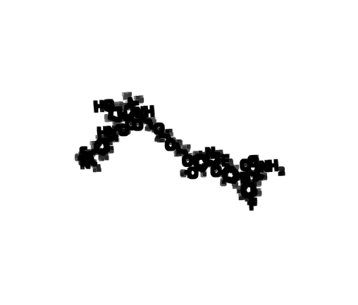 COc1cc2c(Oc3ccc(N(C(=O)C4(C(N)=O)CC4)c4ccc(F)cc4)cc3F)ccnc2cc1OCCCOCCOCCC(=O)NC(C(=O)N1C[C@H](O)C[C@H]1C(=O)NCc1ccc(-c2scnc2C)cc1)C(C)(C)C